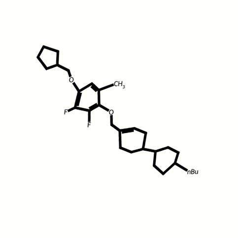 CCCCC1CCC(C2CC=C(COc3c(C)cc(OCC4CCCC4)c(F)c3F)CC2)CC1